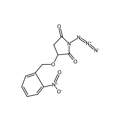 [N-]=[N+]=NN1C(=O)CC(OCc2ccccc2[N+](=O)[O-])C1=O